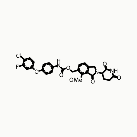 COc1c(COC(=O)Nc2ccc(Oc3ccc(Cl)c(F)c3)cc2)ccc2c1C(=O)N(C1CCC(=O)NC1=O)C2